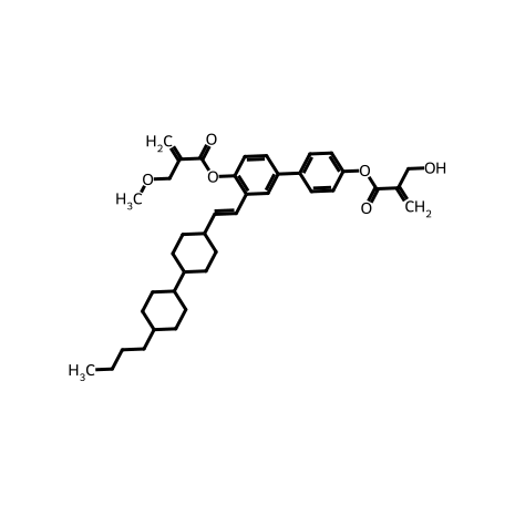 C=C(CO)C(=O)Oc1ccc(-c2ccc(OC(=O)C(=C)COC)c(/C=C/C3CCC(C4CCC(CCCC)CC4)CC3)c2)cc1